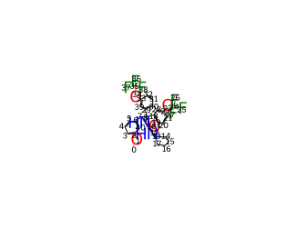 COc1cccc(CC(NC(=O)NC2CCCC2)(c2cccc(OC(F)(F)F)c2)c2cccc(OC(F)(F)F)c2)c1